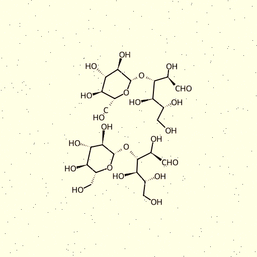 O=C[C@H](O)[C@@H](O[C@@H]1O[C@H](CO)[C@@H](O)[C@H](O)[C@H]1O)[C@H](O)[C@H](O)CO.O=C[C@H](O)[C@@H](O[C@@H]1O[C@H](CO)[C@@H](O)[C@H](O)[C@H]1O)[C@H](O)[C@H](O)CO